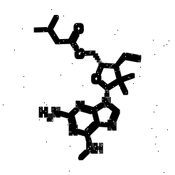 C=C[C@@H]1[C@@H](COC(=O)CC(C)C)O[C@@H](n2cnc3c(NC)nc(N)nc32)C1(C)C